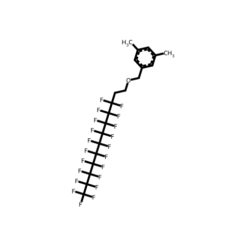 Cc1cc(C)cc(COCCC(F)(F)C(F)(F)C(F)(F)C(F)(F)C(F)(F)C(F)(F)C(F)(F)C(F)(F)C(F)(F)C(F)(F)F)c1